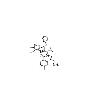 CCc1c(C)ccc2c1nc([C@@H](C(C)C)N(CCCN)C(=O)c1ccc(C)cc1)n2Cc1ccccc1